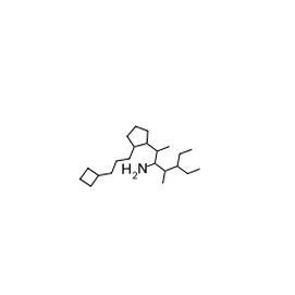 CCC(CC)C(C)C(N)C(C)C1CCCC1CCCC1CCC1